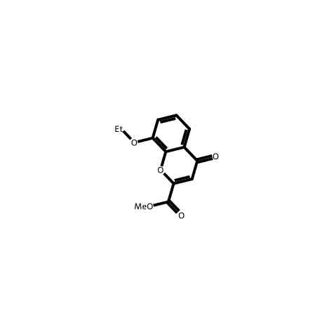 CCOc1cccc2c(=O)cc(C(=O)OC)oc12